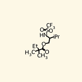 CCC(C)(C)C(=O)OCC(NS(=O)(=O)C(F)(F)F)C(C)C